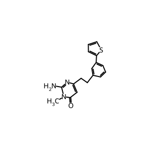 Cn1c(N)nc(CCc2cccc(-c3cccs3)c2)cc1=O